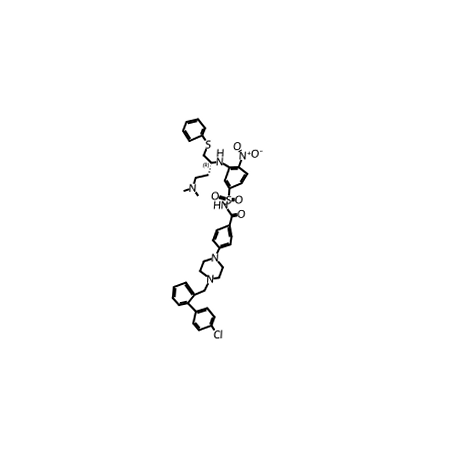 CN(C)CC[C@H](CSc1ccccc1)Nc1cc(S(=O)(=O)NC(=O)c2ccc(N3CCN(Cc4ccccc4-c4ccc(Cl)cc4)CC3)cc2)ccc1[N+](=O)[O-]